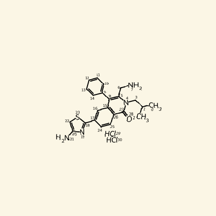 CC(C)Cn1c(CN)c(-c2ccccc2)c2cc(-c3nc(N)cs3)ccc2c1=O.Cl.Cl